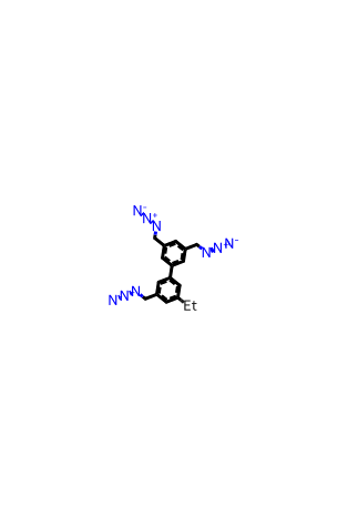 CCc1cc(CN=[N+]=[N-])cc(-c2cc(CN=[N+]=[N-])cc(CN=[N+]=[N-])c2)c1